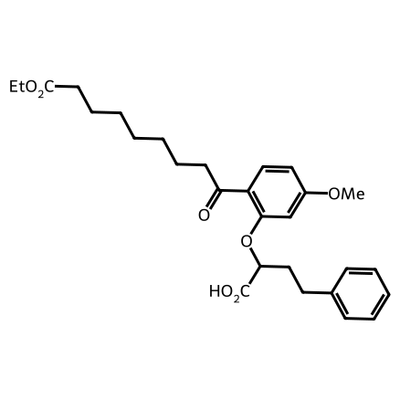 CCOC(=O)CCCCCCCC(=O)c1ccc(OC)cc1OC(CCc1ccccc1)C(=O)O